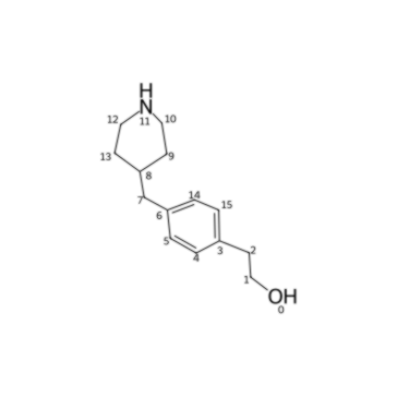 OCCc1ccc(CC2CCNCC2)cc1